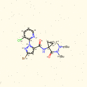 CC(C)(C)N(C(=O)O)N(C(=O)C1(NC(=O)c2cc(Br)nn2-c2ncccc2Cl)CC1)C(C)(C)C